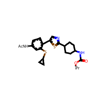 CC(=O)Nc1ccc(-c2cnc(C3CCC(NC(=O)OC(C)C)CC3)s2)c(SC2CC2)c1